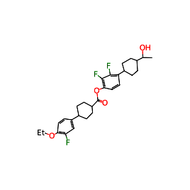 CCOc1ccc(C2CCC(C(=O)Oc3ccc(C4CCC(C(C)O)CC4)c(F)c3F)CC2)cc1F